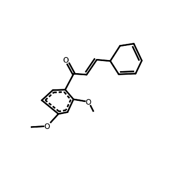 COc1ccc(C(=O)/C=C/C2C=CC=CC2)c(OC)c1